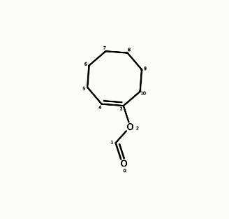 O=COC1=CCCCCCC1